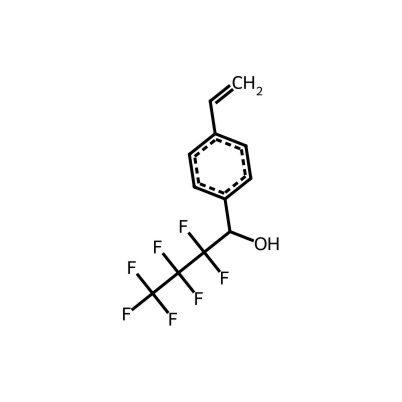 C=Cc1ccc(C(O)C(F)(F)C(F)(F)C(F)(F)F)cc1